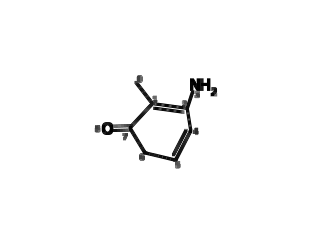 CC1=C(N)C=CCC1=O